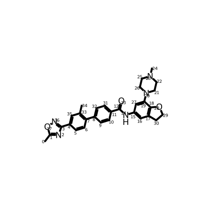 Cc1nc(-c2ccc(-c3ccc(C(=O)Nc4cc5c(c(N6CCN(C)CC6)c4)OCC5)cc3)c(C)c2)no1